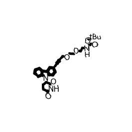 CC(C)(C)OC(=O)NCCOCCOCC#Cc1ccc2c(c1)c1ccccc1n2C1CCC(=O)NC1=O